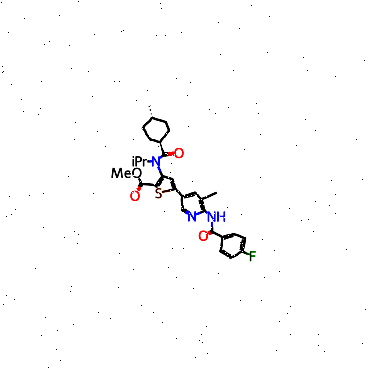 COC(=O)c1sc(-c2cnc(NC(=O)c3ccc(F)cc3)c(C)c2)cc1N(C(=O)[C@H]1CC[C@H](C)CC1)C(C)C